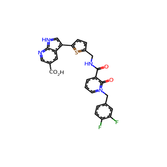 O=C(O)c1cnc2[nH]cc(-c3ccc(CNC(=O)c4cccn(Cc5ccc(F)c(F)c5)c4=O)s3)c2c1